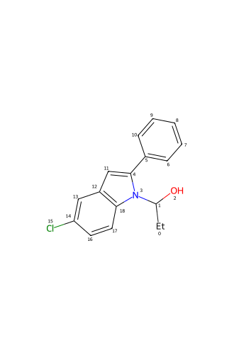 CCC(O)n1c(-c2ccccc2)cc2cc(Cl)ccc21